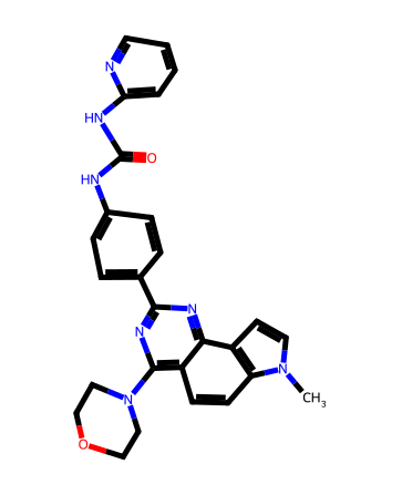 Cn1ccc2c3nc(-c4ccc(NC(=O)Nc5ccccn5)cc4)nc(N4CCOCC4)c3ccc21